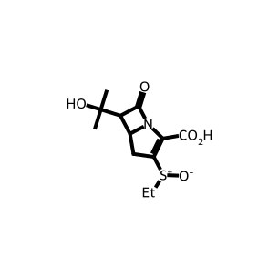 CC[S+]([O-])C1=C(C(=O)O)N2C(=O)C(C(C)(C)O)C2C1